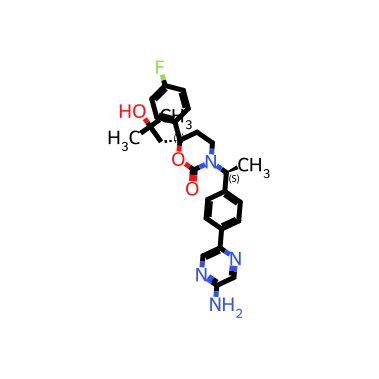 C[C@@H](c1ccc(-c2cnc(N)cn2)cc1)N1CC[C@](CC(C)(C)O)(c2ccc(F)cc2)OC1=O